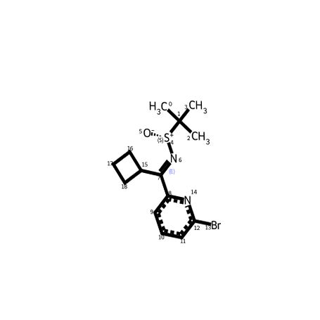 CC(C)(C)[S@@+]([O-])/N=C(/c1cccc(Br)n1)C1CCC1